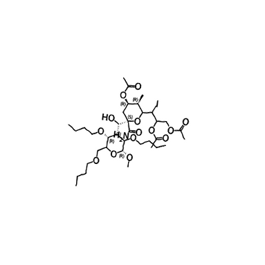 CCCCOCC1O[C@@H](OC)C(OCCCC)[C@@H](C(O)[C@]2(C(N)=O)C[C@@H](OC(C)=O)[C@@H](C)C(C(I)C(COC(C)=O)OC(C)=O)O2)[C@H]1OCCCC